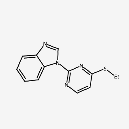 CCSc1ccnc(-n2cnc3ccccc32)n1